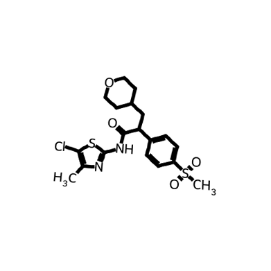 Cc1nc(NC(=O)C(CC2CCOCC2)c2ccc(S(C)(=O)=O)cc2)sc1Cl